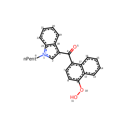 CCCCCn1cc(C(=O)c2ccc(OO)c3ccccc23)c2ccccc21